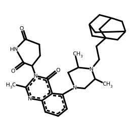 Cc1nc2cccc(N3CC(C)N(CCC45CC6CC(CC(C6)C4)C5)C(C)C3)c2c(=O)n1C1CCC(=O)NC1=O